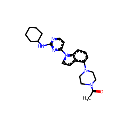 CC(=O)N1CCN(c2cccc3c2ccn3-c2ccnc(NC3CCCCC3)n2)CC1